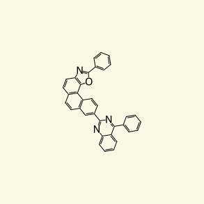 c1ccc(-c2nc3ccc4ccc5cc(-c6nc(-c7ccccc7)c7ccccc7n6)ccc5c4c3o2)cc1